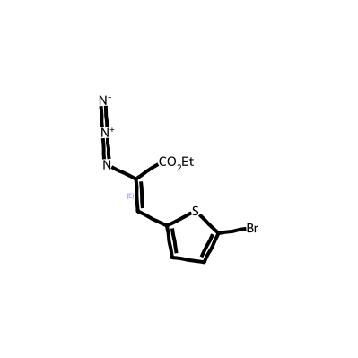 CCOC(=O)/C(=C\c1ccc(Br)s1)N=[N+]=[N-]